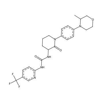 CC1COCCN1c1ccc(N2CCCC(NC(=O)Nc3ccc(C(F)(F)F)cn3)C2=O)cc1